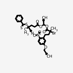 C#CCOc1ccc([N+](=O)[O-])c(CCC(C)(Br)C(=O)OC(C#C)OC(=O)CCC(C)(C#N)SC(=S)c2ccccc2)c1